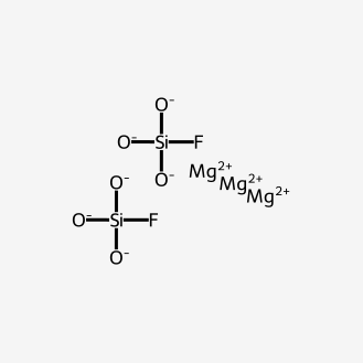 [Mg+2].[Mg+2].[Mg+2].[O-][Si]([O-])([O-])F.[O-][Si]([O-])([O-])F